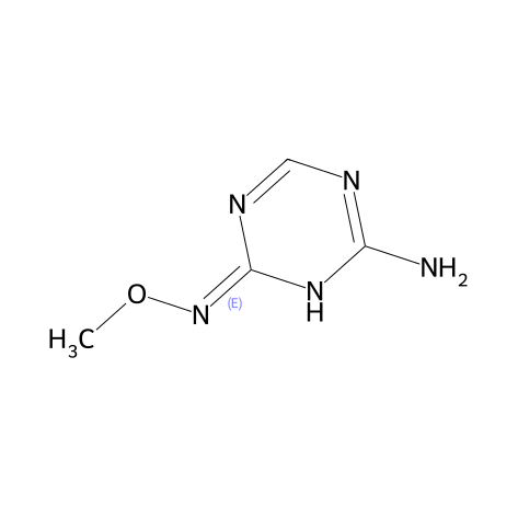 CO/N=c1\ncnc(N)[nH]1